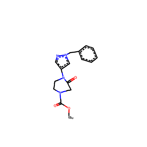 CC(C)(C)OC(=O)N1CCN(c2cnn(Cc3ccccc3)c2)C(=O)C1